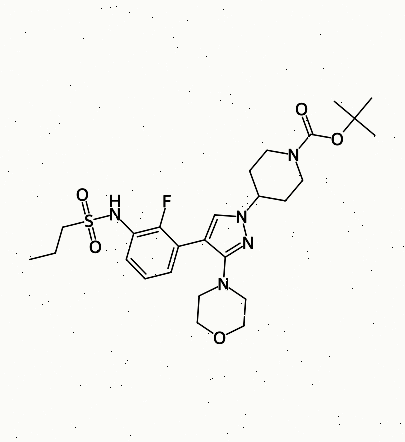 CCCS(=O)(=O)Nc1cccc(-c2cn(C3CCN(C(=O)OC(C)(C)C)CC3)nc2N2CCOCC2)c1F